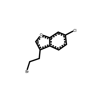 Clc1ccc2c(CCBr)coc2c1